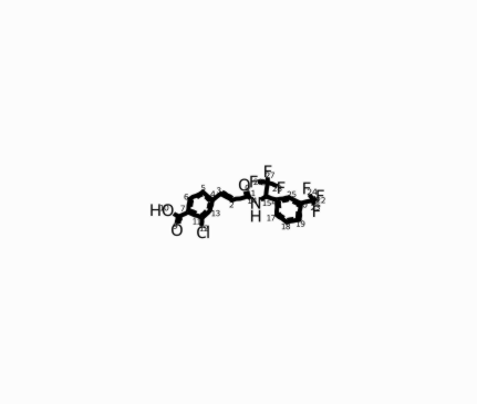 O=C(C=Cc1ccc(C(=O)O)c(Cl)c1)NC(c1cccc(C(F)(F)F)c1)C(F)(F)F